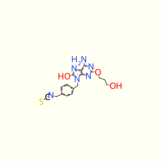 Nc1nc(OCCCO)nc2c1nc(O)n2Cc1ccc(CN=C=S)cc1